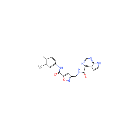 Cc1ccc(NC(=O)c2cc(CNC(=O)c3ncnc4[nH]ccc34)no2)cc1C(F)(F)F